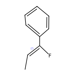 C/C=C(\F)c1ccccc1